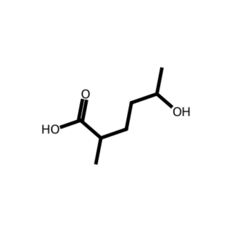 CC(O)CCC(C)C(=O)O